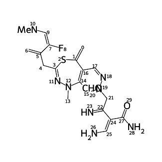 C=C1SC(CC(=C)/C(F)=C\NC)=NN(C)C(C=O)=C1/C=N\N(C)CC(=N)/C(=C\N)C(N)=O